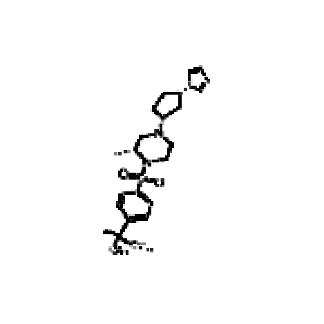 C[C@@H]1CN([C@@H]2CC[C@H](n3ccnc3)C2)CCN1S(=O)(=O)c1ccc(C(C)(O)C(F)(F)F)cc1